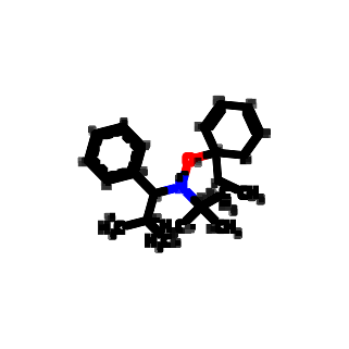 CCC1(ON(C(c2ccccc2)C(C)C)C(C)(C)C)C=CC=CC1